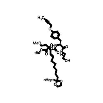 CC#CCOc1ccc(C[C@H](NC(=O)[C@@H](/C=C/CCCCCCC2(CCCCCCC)OCCO2)[C@@](O)(CCOC)C(=O)OC(C)(C)C)C(=O)NCCO)cc1